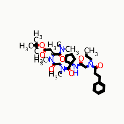 CCCN(CC(=O)NC1(C(=O)N(C)CC(=O)N(C)[C@@H](CC(=O)OC(C)(C)C)C(=O)N(C)C)CCCC1)C(=O)CCc1ccccc1